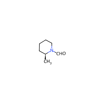 C[C@H]1CCCCN1C=O